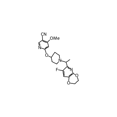 COc1cc(OC2CCN(C(C)c3nc4c(cc3F)OCCO4)CC2)ncc1C#N